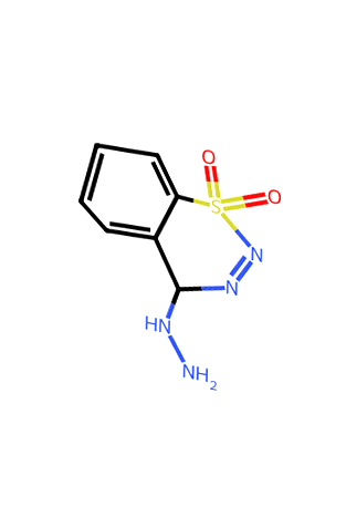 NNC1N=NS(=O)(=O)c2ccccc21